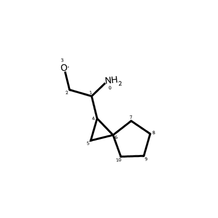 NC(C[O])C1CC12CCCC2